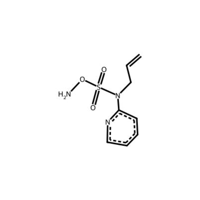 C=CCN(c1ccccn1)S(=O)(=O)ON